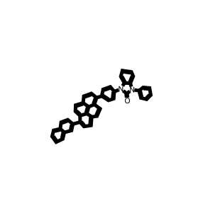 O=c1n(-c2ccccc2)c2ccccc2n1-c1ccc(-c2ccc3ccc4c(-c5ccc6ccccc6c5)ccc5ccc2c3c54)cc1